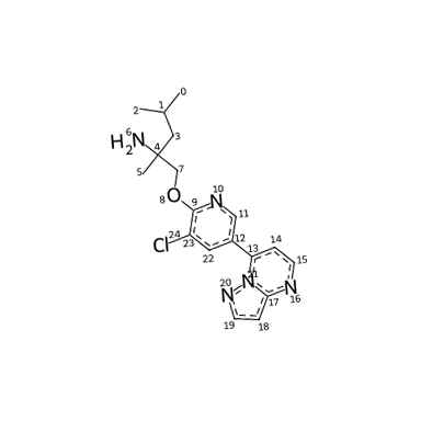 CC(C)CC(C)(N)COc1ncc(-c2ccnc3ccnn23)cc1Cl